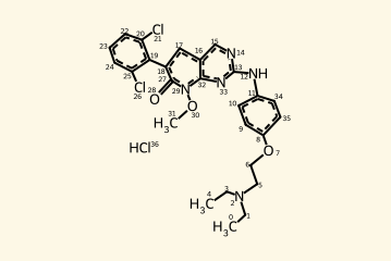 CCN(CC)CCOc1ccc(Nc2ncc3cc(-c4c(Cl)cccc4Cl)c(=O)n(OC)c3n2)cc1.Cl